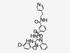 COc1ccc(Cl)c(Nc2nc3ccccc3nc2NS(=O)(=O)c2cccc(C(=O)NCCc3ccncc3)c2)c1